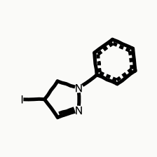 IC1C=NN(c2ccccc2)C1